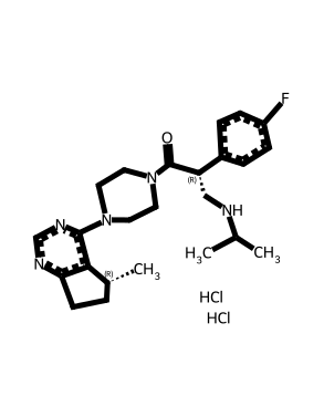 CC(C)NC[C@H](C(=O)N1CCN(c2ncnc3c2[C@H](C)CC3)CC1)c1ccc(F)cc1.Cl.Cl